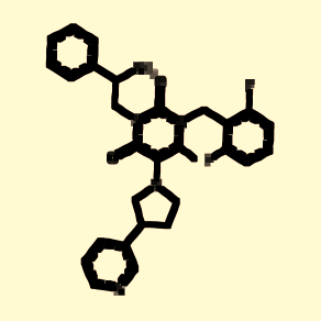 Cc1c(N2CCC(c3cccnc3)C2)c(=O)n(CC(N)c2ccccc2)c(=O)n1Cc1c(F)cccc1F